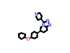 c1ccc(Oc2ccc(-c3ccc4nnc(-c5ccncc5)n4c3)cc2)cc1